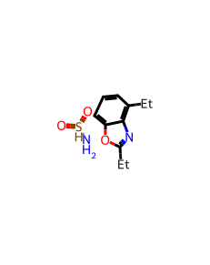 CCc1nc2c(CC)cccc2o1.N[SH](=O)=O